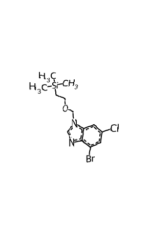 C[Si](C)(C)CCOCn1cnc2c(Br)cc(Cl)cc21